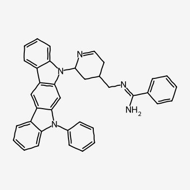 N/C(=N\CC1CC=NC(n2c3ccccc3c3cc4c5ccccc5n(-c5ccccc5)c4cc32)C1)c1ccccc1